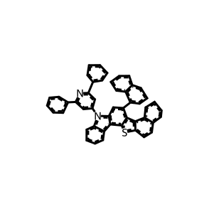 c1ccc(-c2cc(-n3c4ccccc4c4c5sc6ccc7ccccc7c6c5c(-c5cccc6ccccc56)cc43)cc(-c3ccccc3)n2)cc1